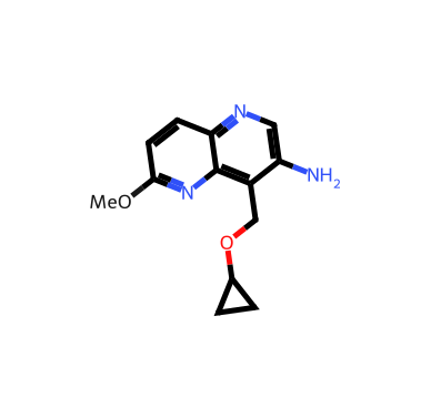 COc1ccc2ncc(N)c(COC3CC3)c2n1